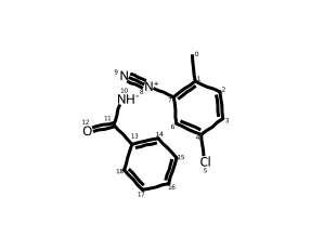 Cc1ccc(Cl)cc1[N+]#N.[NH-]C(=O)c1ccccc1